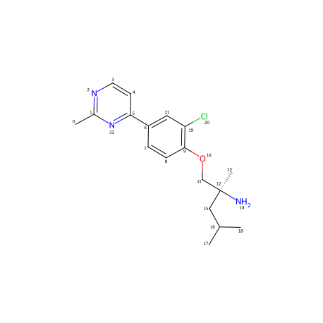 Cc1nccc(-c2ccc(OC[C@@](C)(N)CC(C)C)c(Cl)c2)n1